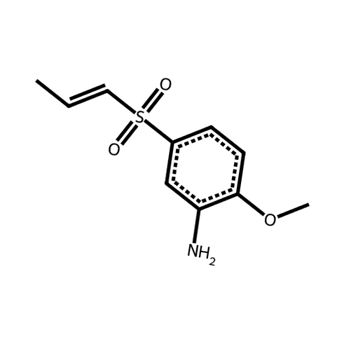 CC=CS(=O)(=O)c1ccc(OC)c(N)c1